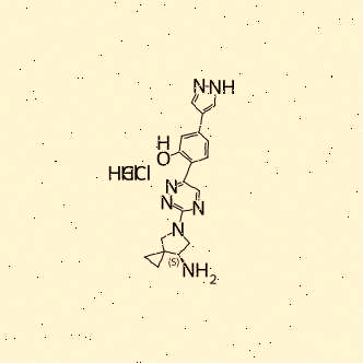 Cl.Cl.N[C@@H]1CN(c2ncc(-c3ccc(-c4cn[nH]c4)cc3O)nn2)CC12CC2